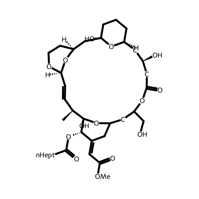 CCCCCCCC(=O)O[C@H]1/C(=C/C(=O)OC)CC2CC(CO)OC(=O)C[C@H](O)C[C@@H]3CCC[C@](O)(C[C@@H]4CCO[C@H](/C=C/[C@H](C)[C@]1(O)O2)O4)O3